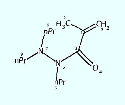 C=C(C)C(=O)N(CCC)N(CCC)CCC